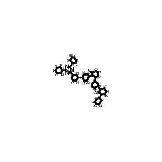 c1ccc(-c2nc(-c3ccccc3)nc(-c3cccc(-c4ccc5c(c4)sc4cccc(-c6ccc7sc8c(-c9ccccc9)cccc8c7c6)c45)c3)n2)cc1